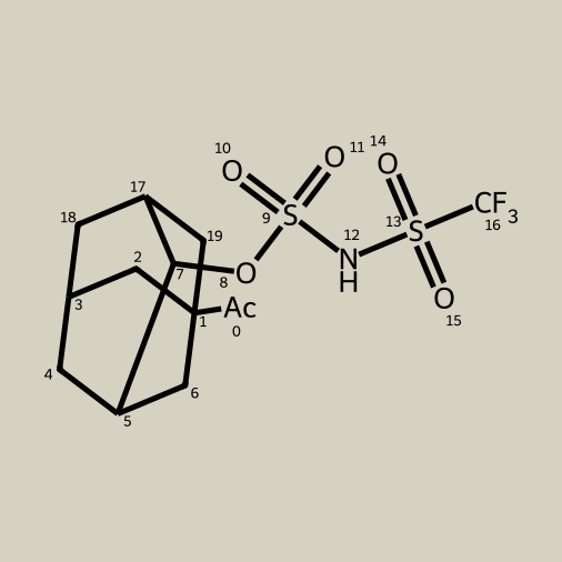 CC(=O)C12CC3CC(C1)C(OS(=O)(=O)NS(=O)(=O)C(F)(F)F)C(C3)C2